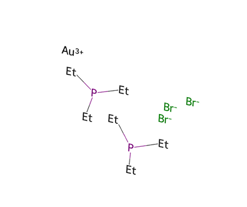 CCP(CC)CC.CCP(CC)CC.[Au+3].[Br-].[Br-].[Br-]